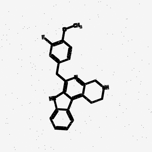 COc1ccc(Cc2nc3c(c4c2[nH]c2ccccc24)CCNC3)cc1F